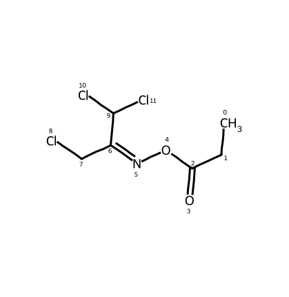 CCC(=O)ON=C(CCl)C(Cl)Cl